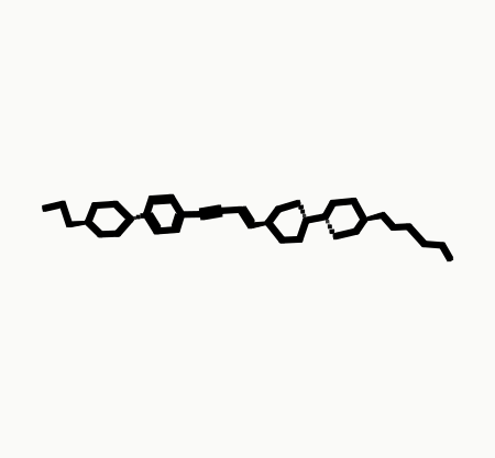 CCCCCC[C@H]1CC[C@H]([C@H]2CC[C@H](C=CC#Cc3ccc([C@H]4CC[C@H](CCC)CC4)cc3)CC2)CC1